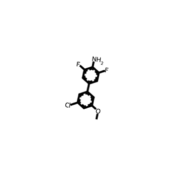 COc1cc(Cl)cc(-c2cc(F)c(N)c(F)c2)c1